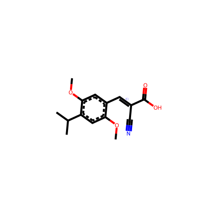 COc1cc(C(C)C)c(OC)cc1/C=C(\C#N)C(=O)O